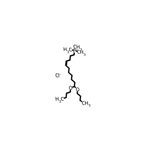 CCCCOC(CCCCC/C=C\CCC[P+](C)(C)C)OCCCC.[Cl-]